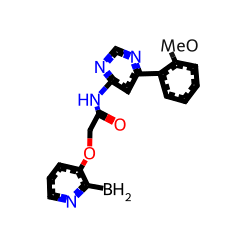 Bc1ncccc1OCC(=O)Nc1cc(-c2ccccc2OC)ncn1